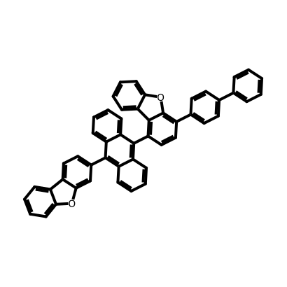 c1ccc(-c2ccc(-c3ccc(-c4c5ccccc5c(-c5ccc6c(c5)oc5ccccc56)c5ccccc45)c4c3oc3ccccc34)cc2)cc1